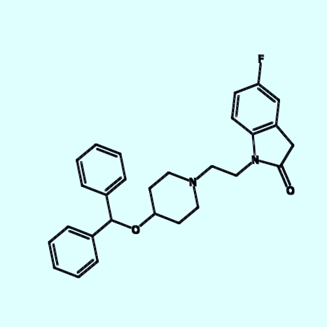 O=C1Cc2cc(F)ccc2N1CCN1CCC(OC(c2ccccc2)c2ccccc2)CC1